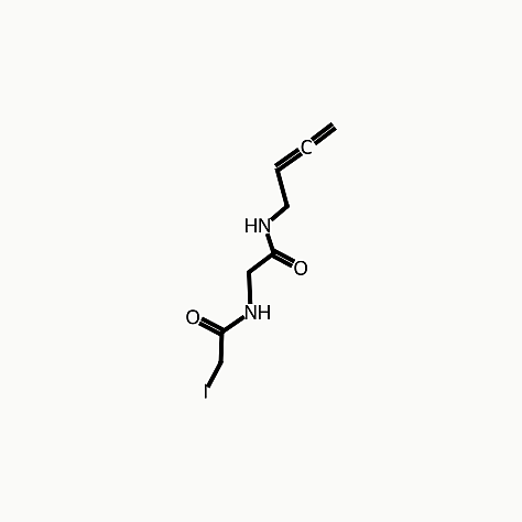 C=C=CCNC(=O)CNC(=O)CI